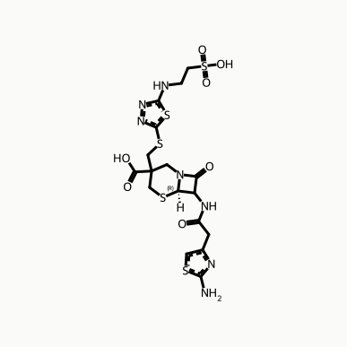 Nc1nc(CC(=O)NC2C(=O)N3CC(CSc4nnc(NCCS(=O)(=O)O)s4)(C(=O)O)CS[C@H]23)cs1